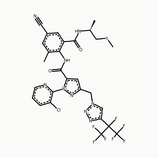 CSC[C@H](C)NC(=O)c1cc(C#N)cc(C)c1NC(=O)c1cc(Cn2cc(C(F)(C(F)(F)F)C(F)(F)F)nn2)nn1-c1ncccc1Cl